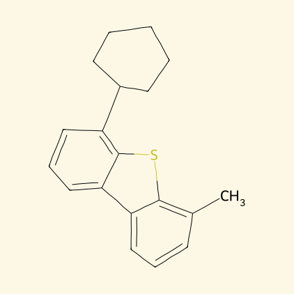 Cc1cccc2c1sc1c(C3CCCCC3)cccc12